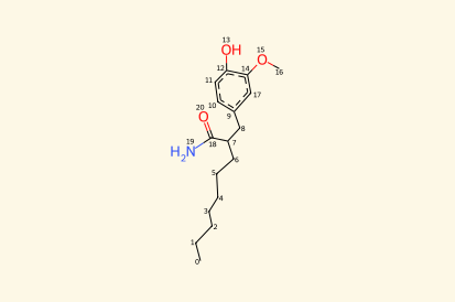 CCCCCCCC(Cc1ccc(O)c(OC)c1)C(N)=O